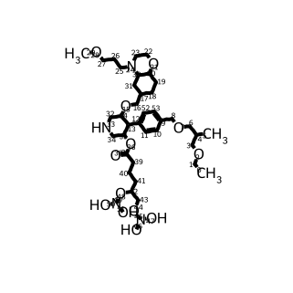 CCOCC(C)COCc1ccc(C2C(OCC3CCC4OCCN(CCCOC)C4C3)CNCC2OC(=O)CCCC(CON(O)O)ON(O)O)cc1